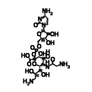 NCC(=O)N[C@H]1C([C@H](O)[C@H](O)CN)O[C@](OP(=O)(O)OC[C@H]2O[C@@H](n3ccc(N)nc3=O)[C@@H](O)C2O)(C(=O)O)C[C@H]1O